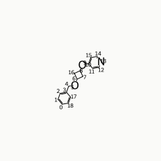 c1ccc(COC2CC(Oc3ccncc3)C2)cc1